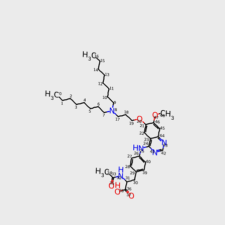 CCCCCCCCN(CCCCCCCC)CCCOc1cc2c(Nc3ccc(CC(NC(C)=O)C(=O)O)cc3)ncnc2cc1OC